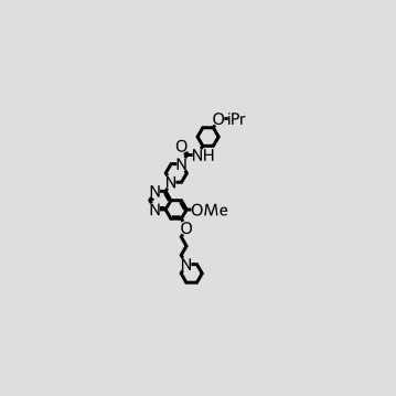 COc1cc2c(N3CCN(C(=O)NC4CCC(OC(C)C)CC4)CC3)ncnc2cc1OCCCN1CCCCC1